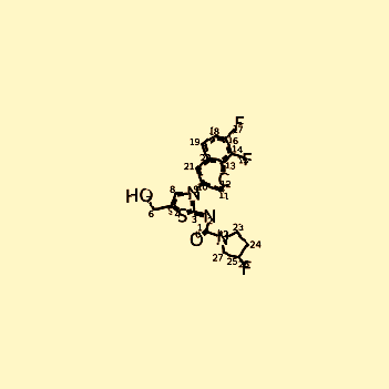 O=C(N=c1sc(CO)cn1-c1ccc2c(F)c(F)ccc2c1)N1CC[C@@H](F)C1